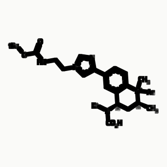 CCN(C(=O)O)[C@@H]1C[C@H](C)[N+](C)(C(C)=O)c2ccc(-c3cn(CCNC(=O)OC(C)(C)C)cn3)cc21